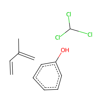 C=CC(=C)C.ClC(Cl)Cl.Oc1ccccc1